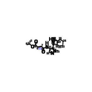 CC(C)OC(=O)/C=C/C(=O)Nc1cnn(C)c1-c1n[nH]c2c1CCCC2